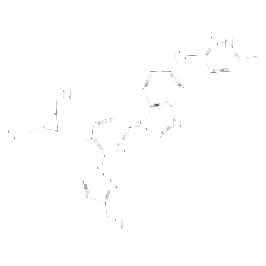 Cc1ccc(Nc2ccc3c(c2)ncn3-c2ccc(OC3C(C#N)C3C#N)c(-n3nc(C#N)cc3C)n2)nn1